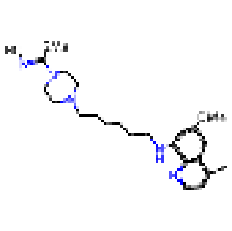 COc1cc(NCCCCCCN2CCN(/C(=N/C#N)SC)CC2)c2nccc(C)c2c1